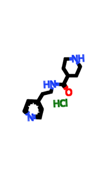 Cl.O=C(NCCc1ccncc1)C1CCNCC1